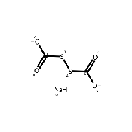 O=C(O)SSC(=O)O.[NaH]